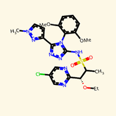 CCO[C@H](c1ncc(Cl)cn1)C(C)S(=O)(=O)Nc1nnc(-c2ccn(C)n2)n1-c1c(OC)cccc1OC